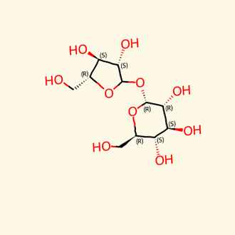 OC[C@H]1O[C@H](OC2O[C@H](CO)[C@@H](O)[C@@H]2O)[C@H](O)[C@@H](O)[C@@H]1O